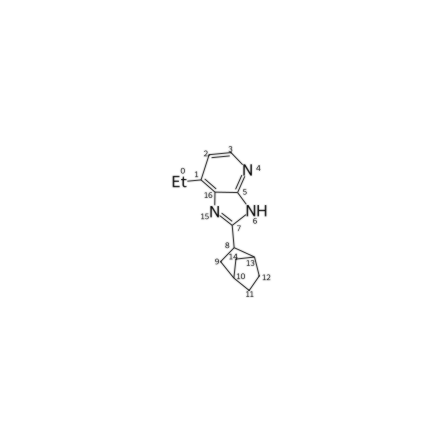 CCc1ccnc2[nH]c(C3CC4CCC3C4)nc12